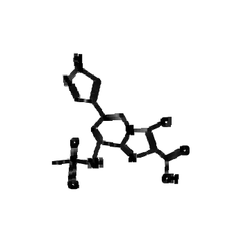 CS(=O)(=O)Nc1cc(-c2cn[nH]c2)cn2c(Cl)c(C(=O)O)nc12